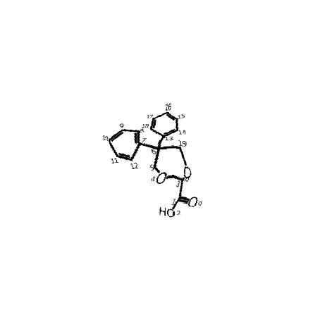 O=C(O)C1OCC(c2ccccc2)(c2ccccc2)CO1